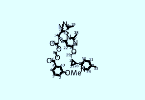 COc1cccc(C(=O)OCOC(=O)N(Cc2nnc(C)s2)c2cc(OC[C@H]3C[C@@H]3c3ccc(C)cn3)nc(C)n2)c1